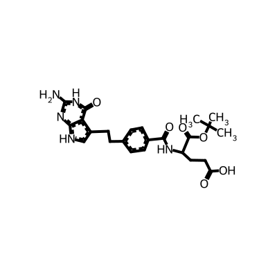 CC(C)(C)OC(=O)C(CCC(=O)O)NC(=O)c1ccc(CCc2c[nH]c3nc(N)[nH]c(=O)c23)cc1